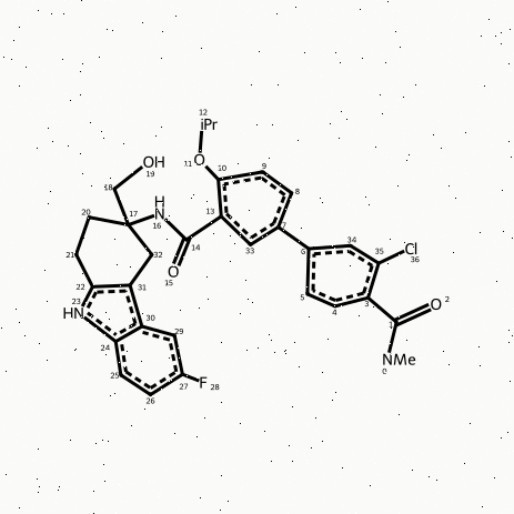 CNC(=O)c1ccc(-c2ccc(OC(C)C)c(C(=O)NC3(CO)CCc4[nH]c5ccc(F)cc5c4C3)c2)cc1Cl